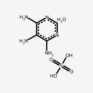 Nc1ncnc(N)c1N.O.O=S(=O)(O)O